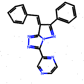 C(/c1ccccc1)=c1\c(-c2ccccc2)nn2c(-c3cnccn3)nnc12